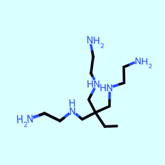 CCC(CNCCN)(CNCCN)CNCCN